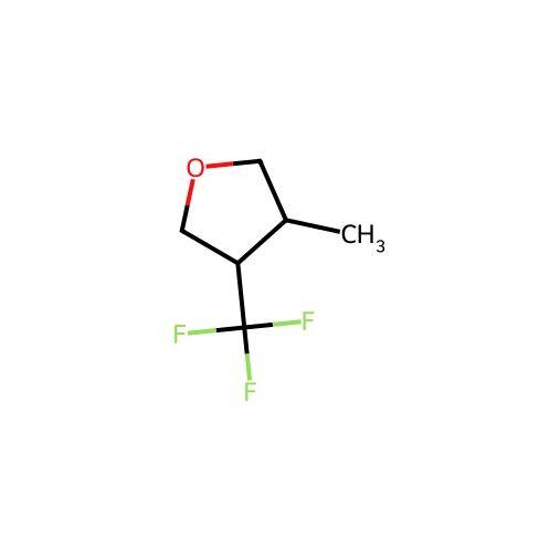 CC1COCC1C(F)(F)F